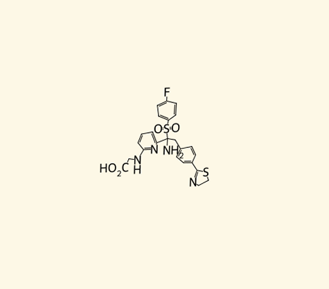 NC(Cc1ccc(C2=NCCS2)cc1)(c1cccc(NCC(=O)O)n1)S(=O)(=O)c1ccc(F)cc1